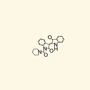 O=C1/C(=C2/C(=O)N(C(=O)N3CCCCC3)c3ccccc32)Nc2ccccc21